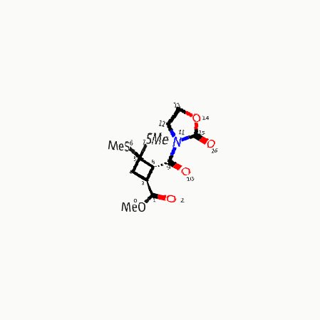 COC(=O)[C@H]1CC(SC)(SC)[C@@H]1C(=O)N1CCOC1=O